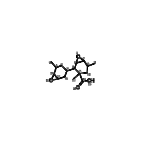 CC1CC(C2C3OC3C(C)CC2(C)C(=O)O)CC2OC12